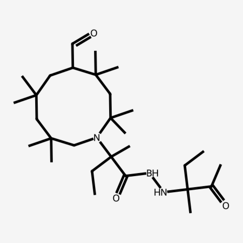 CCC(C)(NBC(=O)C(C)(CC)N1CC(C)(C)CC(C)(C)CC(C=O)C(C)(C)CC1(C)C)C(C)=O